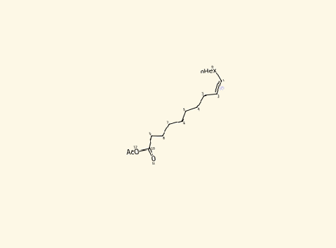 CCCCCC/C=C\CCCCCCCC(=O)OC(C)=O